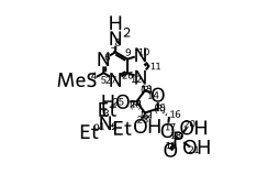 CCN(CC)CC.CSc1nc(N)c2ncn([C@@H]3O[C@H](COP(=O)(O)O)[C@@H](O)[C@H]3O)c2n1